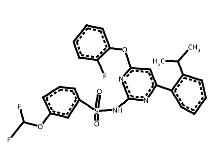 CC(C)c1ccccc1-c1cc(Oc2ccccc2F)nc(NS(=O)(=O)c2cccc(OC(F)F)c2)n1